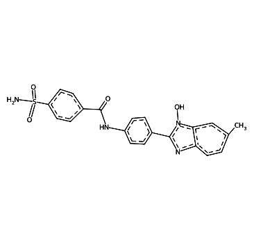 Cc1ccc2nc(-c3ccc(NC(=O)c4ccc(S(N)(=O)=O)cc4)cc3)n(O)c2c1